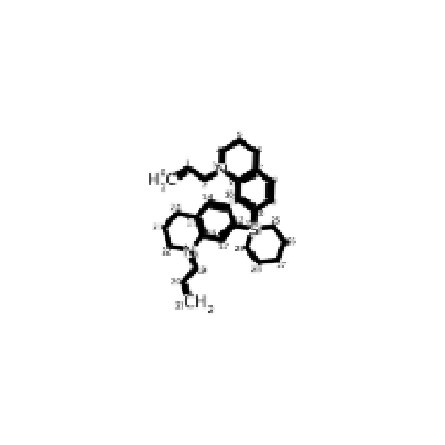 C=CCN1CCCc2ccc([Si]3(c4ccc5c(c4)N(CC=C)CCC5)CCCCC3)cc21